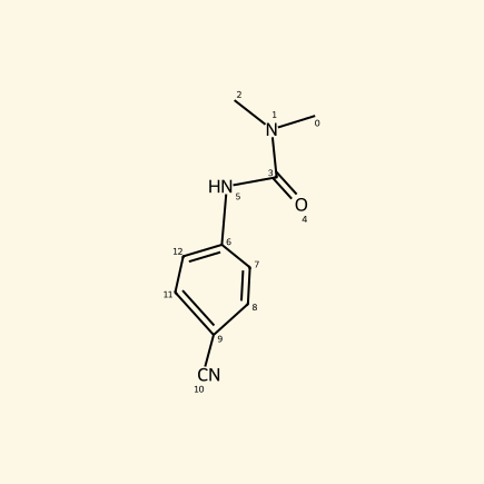 CN(C)C(=O)Nc1ccc(C#N)cc1